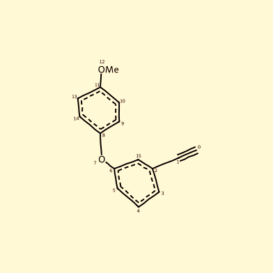 C#Cc1cccc(Oc2ccc(OC)cc2)c1